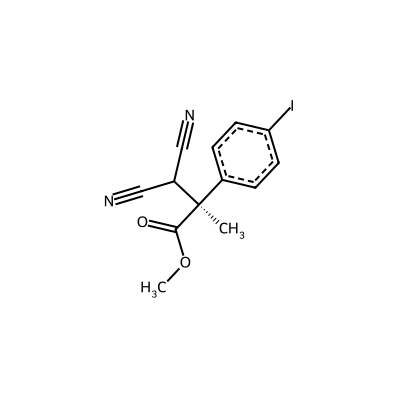 COC(=O)[C@](C)(c1ccc(I)cc1)C(C#N)C#N